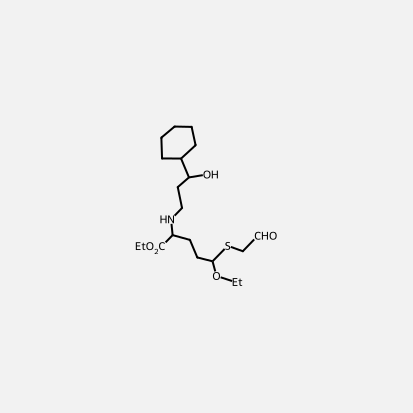 CCOC(=O)C(CCC(OCC)SCC=O)NCCC(O)C1CCCCC1